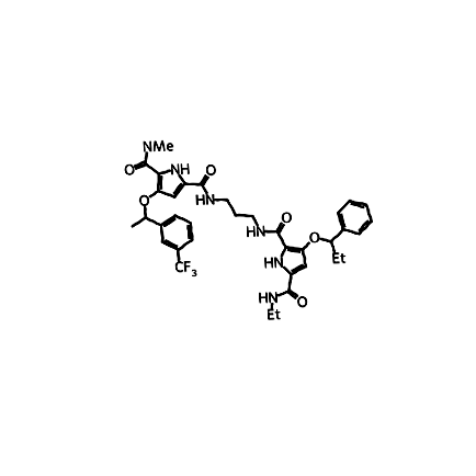 CCNC(=O)c1cc(OC(CC)c2ccccc2)c(C(=O)NCCCNC(=O)c2cc(OC(C)c3cccc(C(F)(F)F)c3)c(C(=O)NC)[nH]2)[nH]1